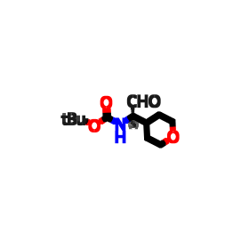 CC(C)(C)OC(=O)N[C@H](C=O)C1CCOCC1